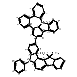 CC1(C)c2ccccc2-c2ccc3c(c21)c1cc(-c2cc4c5c(c2)c2ccccc2n5-c2ccccc2-c2ccccc2-4)ccc1n3-c1ccccc1